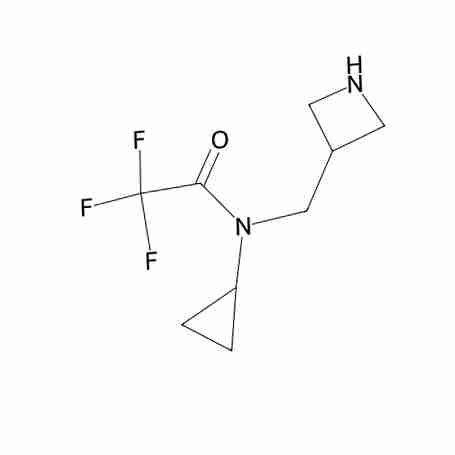 O=C(N(CC1CNC1)C1CC1)C(F)(F)F